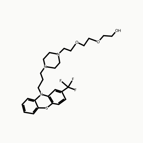 OCCOCCOCCN1CCN(CCCN2c3ccccc3Sc3ccc(C(F)(F)F)cc32)CC1